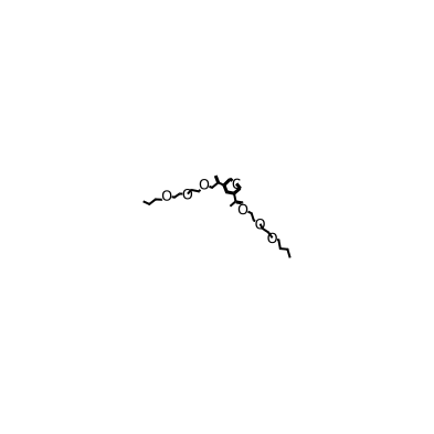 C=C(COCCOCCOCCCC)c1cccc(C(C)=COCCOCCOCCCC)c1